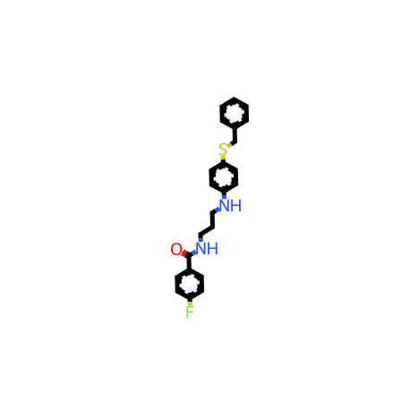 O=C(NCCCNc1ccc(SCc2ccccc2)cc1)c1ccc(F)cc1